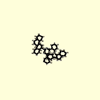 c1ccc(-c2nc(-c3ccccc3-n3c4ccccc4c4ccc5ccccc5c43)nc(-c3cc4c5ccccc5ccc4c4ccccc34)n2)cc1